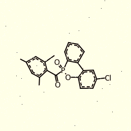 Cc1cc(C)c(C(=O)P2(=O)Oc3ccc(Cl)cc3-c3ccccc32)c(C)c1